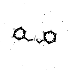 c1ccc(C[Te+]Cc2ccccc2)cc1